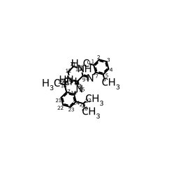 Cc1cccc(C)c1N=C1NCCNC1=Nc1c(C(C)C)cccc1C(C)C